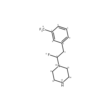 FC(Cc1cccc(C(F)(F)F)c1)N1CCNCC1